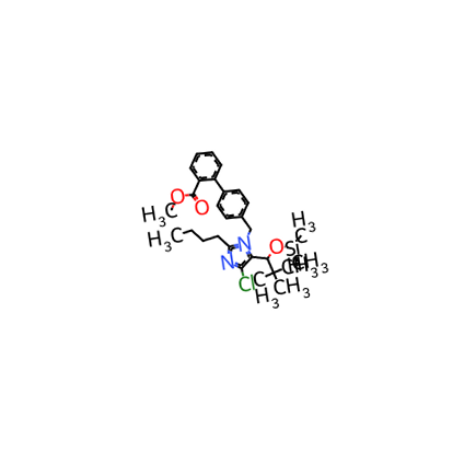 CCCCc1nc(Cl)c(C(O[SiH](C)C)C(C)(C)C)n1Cc1ccc(-c2ccccc2C(=O)OC)cc1